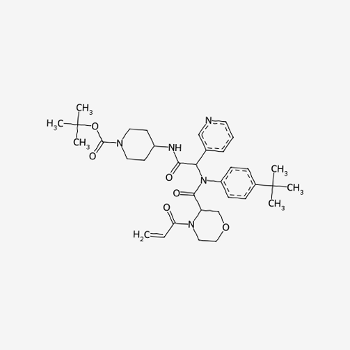 C=CC(=O)N1CCOCC1C(=O)N(c1ccc(C(C)(C)C)cc1)C(C(=O)NC1CCN(C(=O)OC(C)(C)C)CC1)c1cccnc1